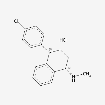 CN[C@H]1CC[C@@H](c2ccc(Cl)cc2)c2ccccc21.Cl